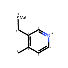 CSCc1cnccc1C